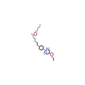 C=CCOc1cnc(-c2ccc(C=CCCCC(C)OCCCCC)cc2)nc1